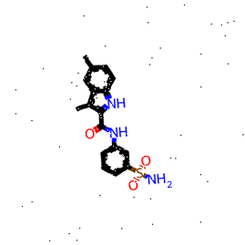 Cc1ccc2[nH]c(C(=O)Nc3cccc(S(N)(=O)=O)c3)c(C)c2c1